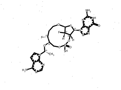 C[C@@H](O[C@@H]1COP(=O)(S)O[C@@H]2[C@H](F)C(OCC[C@H]1F)S[C@H]2n1nnc2c(=O)[nH]c(N)nc21)n1ccc2c(N)ncnc21